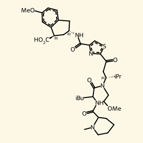 CCC(C)C(NC(=O)C1CCCCN1C)C(=O)N(CCOC)[C@H](CC(=O)c1nc(C(=O)N[C@H]2Cc3ccc(OC)cc3[C@H](C(=O)O)C2)cs1)C(C)C